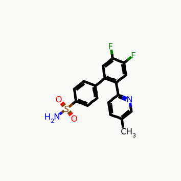 Cc1ccc(-c2cc(F)c(F)cc2-c2ccc(S(N)(=O)=O)cc2)nc1